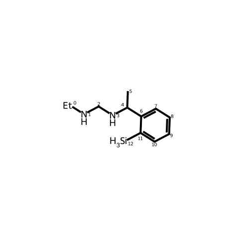 CCNCNC(C)c1ccccc1[SiH3]